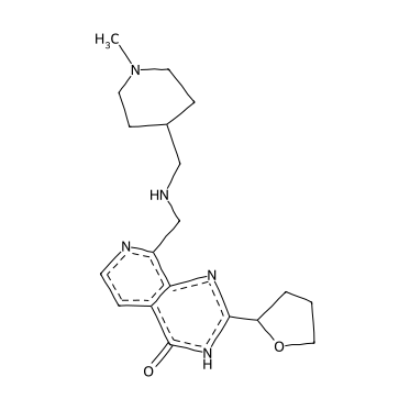 CN1CCC(CNCc2nccc3c(=O)[nH]c(C4CCCO4)nc23)CC1